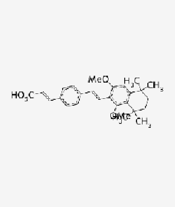 COc1cc2c(c(OC)c1C=Cc1ccc(C=CC(=O)O)cc1)C(C)(C)CCC2(C)C